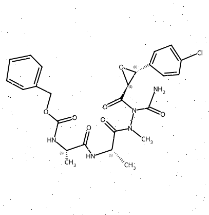 C[C@H](NC(=O)OCc1ccccc1)C(=O)N[C@@H](C)C(=O)N(C)N(C(N)=O)C(=O)[C@H]1O[C@@H]1c1ccc(Cl)cc1